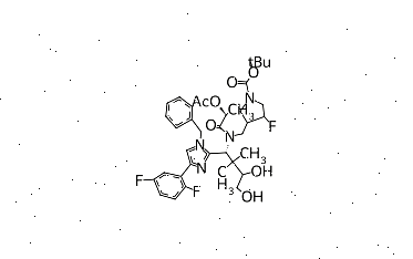 CC(=O)O[C@@H](C)C(=O)N(CC1CN(C(=O)OC(C)(C)C)CC1F)[C@@H](c1nc(-c2cc(F)ccc2F)cn1Cc1ccccc1)C(C)(C)C(O)CO